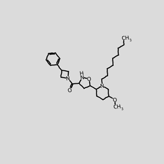 CCCCCCCCCN1CC(OC)CCC1C1CC(C(=O)N2CC(c3ccccc3)C2)NO1